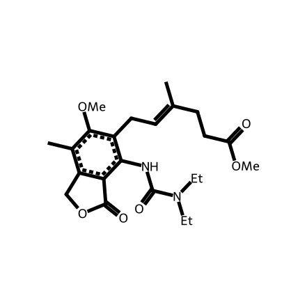 CCN(CC)C(=O)Nc1c(C/C=C(\C)CCC(=O)OC)c(OC)c(C)c2c1C(=O)OC2